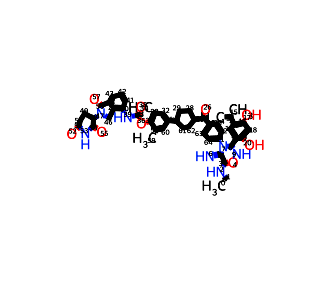 CCNC(=O)C(=N)N(C(=N)c1cc(C(C)C)c(O)cc1O)c1ccc(C(=O)C2CCC(c3cc(C)c(OC(=O)Nc4cccc5c4CN(C4CCC(=O)NC4=O)C5=O)c(C)c3)CC2)cc1